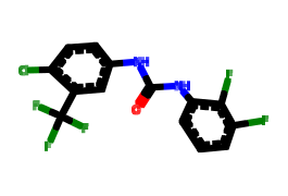 O=C(Nc1ccc(Cl)c(C(F)(F)F)c1)Nc1cccc(F)c1F